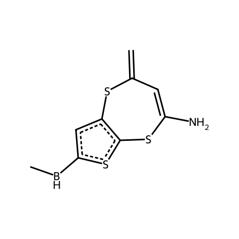 C=C1C=C(N)Sc2sc(BC)cc2S1